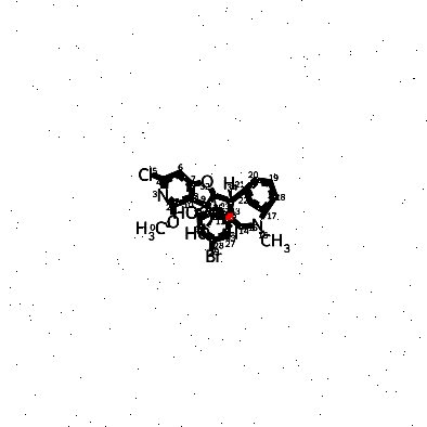 COc1nc(Cl)cc2c1[C@]1(O)[C@H](O)[C@@H]3CN(C)c4cccc(c4)[C@H]3[C@]1(c1ccc(Br)cc1)O2